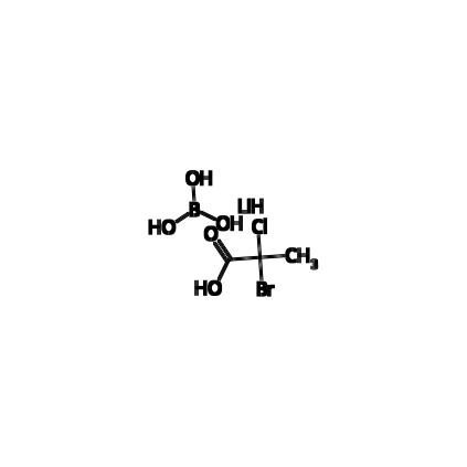 CC(Cl)(Br)C(=O)O.OB(O)O.[LiH]